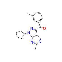 Cc1cccc(C(=O)c2nn(C3CCCC3)c3nc(C)ncc23)c1